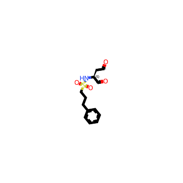 O=[C]C[C@@H]([C]=O)NS(=O)(=O)CCCc1ccccc1